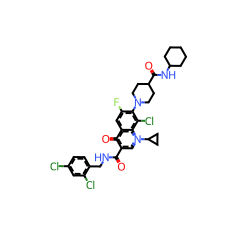 O=C(NCc1ccc(Cl)cc1Cl)c1cn(C2CC2)c2c(Cl)c(N3CCC(C(=O)NC4CCCCC4)CC3)c(F)cc2c1=O